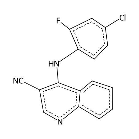 N#Cc1cnc2ccccc2c1Nc1ccc(Cl)cc1F